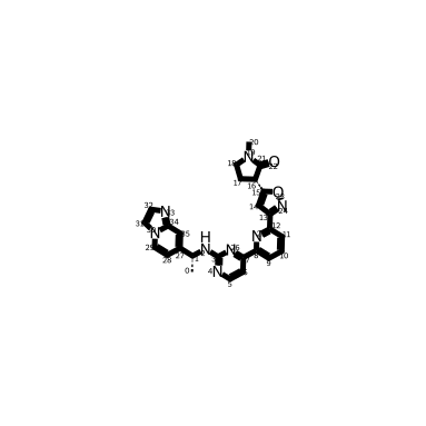 C[C@@H](Nc1nccc(-c2cccc(-c3cc([C@@H]4CCN(C)C4=O)on3)n2)n1)c1ccn2ccnc2c1